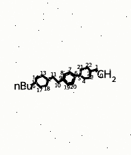 C=CC1CCC(c2ccc(CCC3CCC(CCCC)CC3)cc2)CC1